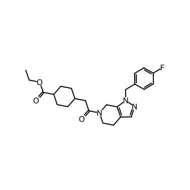 CCOC(=O)C1CCC(CC(=O)N2CCc3cnn(Cc4ccc(F)cc4)c3C2)CC1